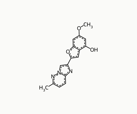 COc1cc(O)c2cc(-c3cn4nc(C)ccc4n3)oc2c1